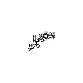 N#CCNC(=O)[C@@H](N)CCS(=O)(=O)c1ccc(OC(F)(F)F)cc1